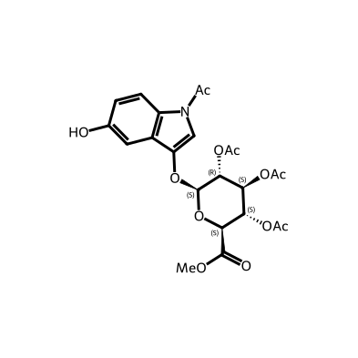 COC(=O)[C@H]1O[C@@H](Oc2cn(C(C)=O)c3ccc(O)cc23)[C@H](OC(C)=O)[C@@H](OC(C)=O)[C@@H]1OC(C)=O